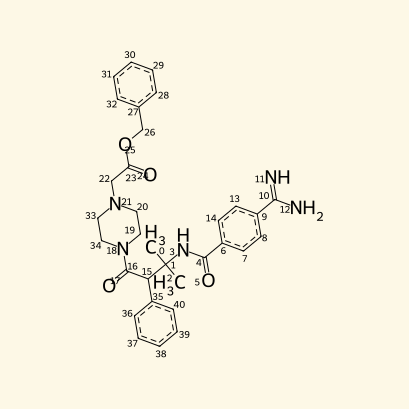 CC(C)(NC(=O)c1ccc(C(=N)N)cc1)C(C(=O)N1CCN(CC(=O)OCc2ccccc2)CC1)c1ccccc1